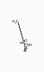 CCCCCCCCCCCCCC(=O)N[C@@H](CO)CN=[N+]=[N-]